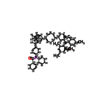 Cc1cc(C)c(B(c2cccc(/C3=C/C=C\C(c4ccc(C56CC7(c8ccc(P(C(=O)c9ccccc9)c9ccccc9)cc8)CC8CC5(C6)C8C7)cc4)=C/CC3)c2)c2c(C)cc(C)cc2C)c(C)c1